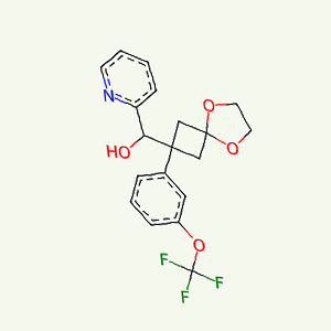 OC(c1ccccn1)C1(c2cccc(OC(F)(F)F)c2)CC2(C1)OCCO2